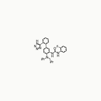 CC(C)CN(c1ccc(-c2ccccc2-c2nnn[nH]2)cc1NC(=O)Nc1ccccc1F)C(C)C